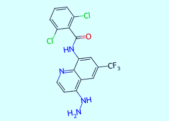 NNc1ccnc2c(NC(=O)c3c(Cl)cccc3Cl)cc(C(F)(F)F)cc12